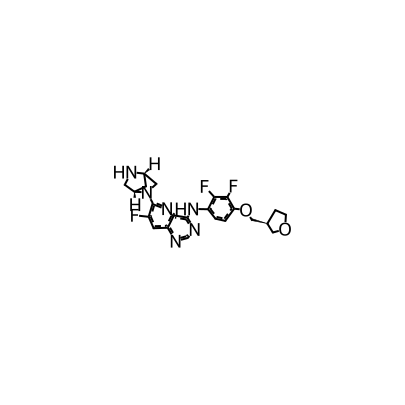 Fc1cc2ncnc(Nc3ccc(OC[C@H]4CCOC4)c(F)c3F)c2nc1N1C[C@@H]2C[C@H]1CN2